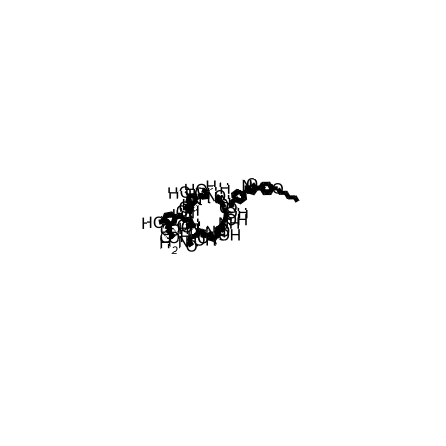 CCCCCOc1ccc(-c2cc(-c3ccc(C(=O)N[C@@H]4C[C@@H](O)[C@@H](O)NC(=O)[C@@H]5[C@@H](O)[C@@H](C)CN5C(=O)[C@H]([C@H](O)CC(N)=O)NC(=O)[C@H]([C@H](O)[C@@H](O)c5ccc(O)c(OS(=O)(=O)O)c5)NC(=O)[C@@H]5C[C@@H](O)CN5C(=O)[C@H]([C@@H](C)O)NC4=O)cc3)no2)cc1